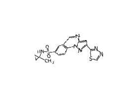 CC1(NS(=O)(=O)c2ccc3c(cnc4cc(-c5nncs5)nn43)c2)CC1